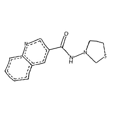 O=C(NN1CCSC1)c1cnc2ccccc2c1